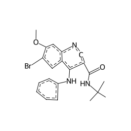 COc1cc2ncc(C(=O)NC(C)(C)C)c(Nc3ccccc3)c2cc1Br